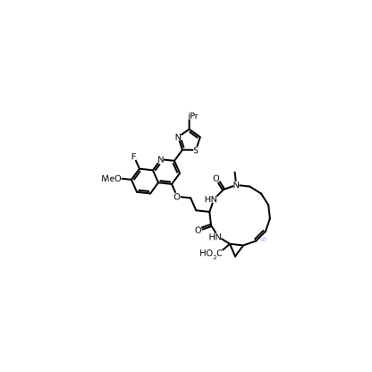 COc1ccc2c(OCCC3NC(=O)N(C)CCCC/C=C\C4CC4(C(=O)O)NC3=O)cc(-c3nc(C(C)C)cs3)nc2c1F